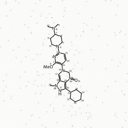 COc1nc(N2CCC(N(C)C)CC2)ccc1N1C=C2C(=C(C3CCCCC3)NN2C)[N+](=O)C1